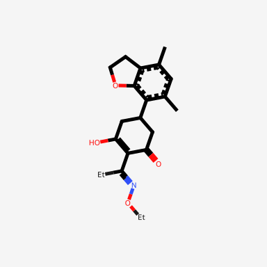 CCON=C(CC)C1=C(O)CC(c2c(C)cc(C)c3c2OCC3)CC1=O